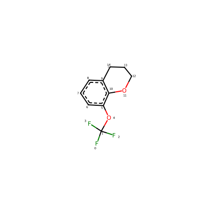 FC(F)(F)Oc1cccc2c1OCC[C]2